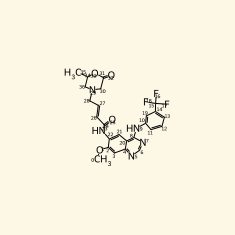 COc1cc2ncnc(Nc3cccc(C(F)(F)F)c3)c2cc1NC(=O)C=CCN1CC(=O)O[C@H](C)C1